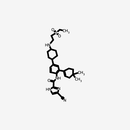 CCS(=O)(=O)CCNC1CCC(c2ccc(NC(=O)c3nc(C#N)c[nH]3)c(C3=CCC(C)(C)CC3)c2)CC1